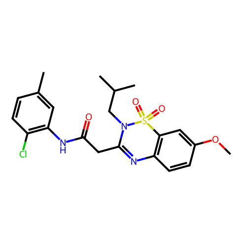 COc1ccc2c(c1)S(=O)(=O)N(CC(C)C)C(CC(=O)Nc1cc(C)ccc1Cl)=N2